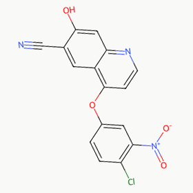 N#Cc1cc2c(Oc3ccc(Cl)c([N+](=O)[O-])c3)ccnc2cc1O